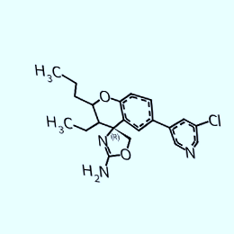 CCCC1Oc2ccc(-c3cncc(Cl)c3)cc2[C@@]2(COC(N)=N2)C1CC